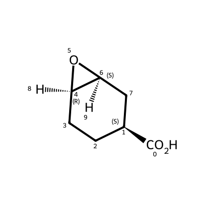 O=C(O)[C@H]1CC[C@H]2O[C@H]2C1